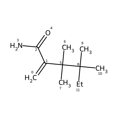 C=C(C(N)=O)C(C)(C)C(C)(C)CC